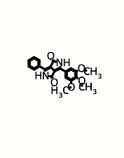 COc1cc(C2=C3C(=O)NC(c4ccccc4)=C3C(=O)N2)cc(OC)c1OC